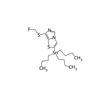 CCC[CH2][Sn]([CH2]CCC)([CH2]CCC)[c]1cn2cnc(SCF)c2s1